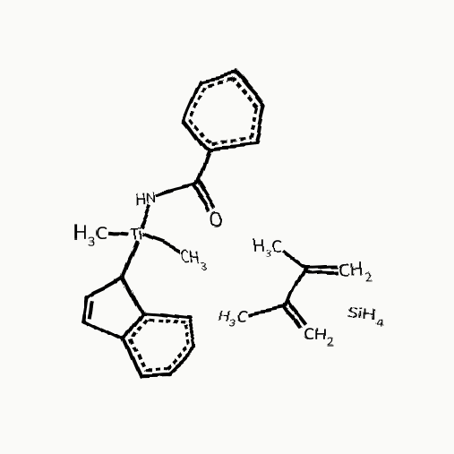 C=C(C)C(=C)C.[CH3][Ti]([CH3])([NH]C(=O)c1ccccc1)[CH]1C=Cc2ccccc21.[SiH4]